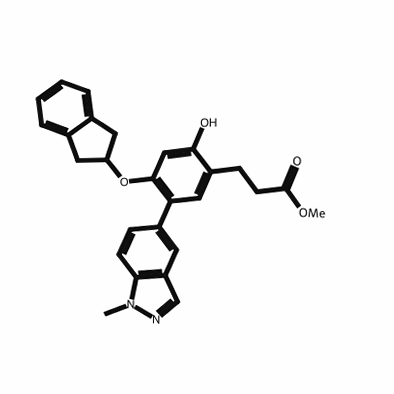 COC(=O)CCc1cc(-c2ccc3c(cnn3C)c2)c(OC2Cc3ccccc3C2)cc1O